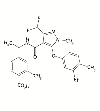 CCc1cc(Oc2c(C(=O)NC(C)c3ccc(C(=O)O)c(C)c3)c(C(F)F)nn2C)ccc1C